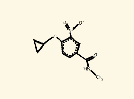 CNC(=O)c1ccc(OC2CC2)c([N+](=O)[O-])c1